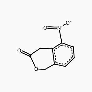 O=C1Cc2c(cccc2[N+](=O)[O-])CO1